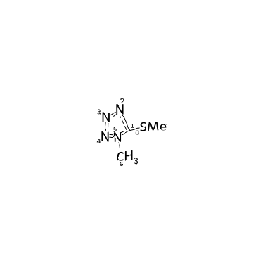 [CH2]Sc1nnnn1C